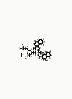 CNCCC[C@H](CN)NC[C@@H](Cc1ccc2ccccc2c1)NCCc1cccc2ccccc12